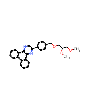 COCC(COCc1ccc(-c2cnc3c4ccccc4c4ccccc4c3n2)cc1)OC